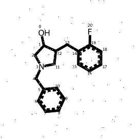 OC1CN(Cc2ccccc2)CC1Cc1ccccc1F